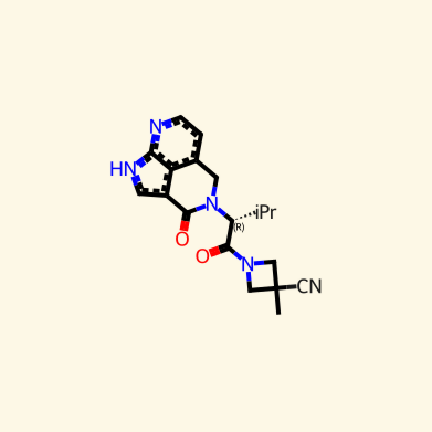 CC(C)[C@H](C(=O)N1CC(C)(C#N)C1)N1Cc2ccnc3[nH]cc(c23)C1=O